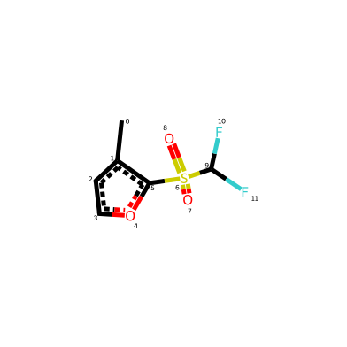 Cc1ccoc1S(=O)(=O)C(F)F